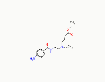 CCOC(=O)CCCN(CC)CCNC(=O)c1ccc(N)cc1